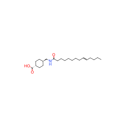 CCCCC=CCCCCCCCC(=O)NC[C@H]1CC[C@H](C(=O)O)CC1